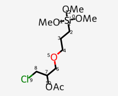 CO[Si](CCCOCC(CCl)OC(C)=O)(OC)OC